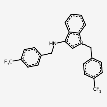 FC(F)(F)c1ccc(CNc2cn(Cc3ccc(C(F)(F)F)cc3)c3ccccc23)cc1